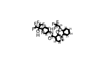 O=C(Nc1ccc(C(O)(C(F)F)C(F)F)nc1)c1ccnn(-c2ccccc2OCC(F)(F)F)c1=O